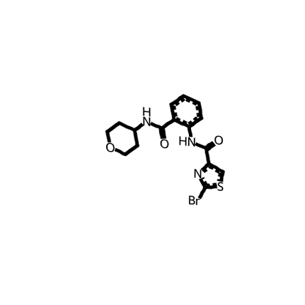 O=C(Nc1ccccc1C(=O)NC1CCOCC1)c1csc(Br)n1